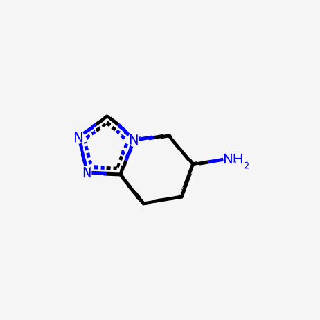 NC1CCc2nncn2C1